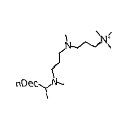 CCCCCCCCCCC(C)N(C)CCCN(C)CCC[N+](C)(C)C